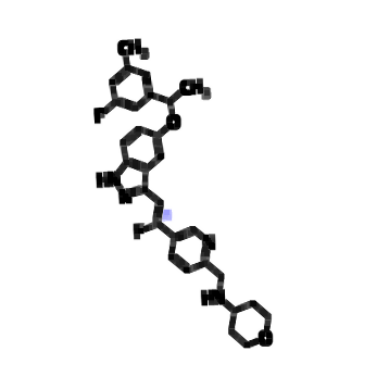 Cc1cc(F)cc(C(C)Oc2ccc3[nH]nc(/C=C(\F)c4ccc(CNC5CCOCC5)nc4)c3c2)c1